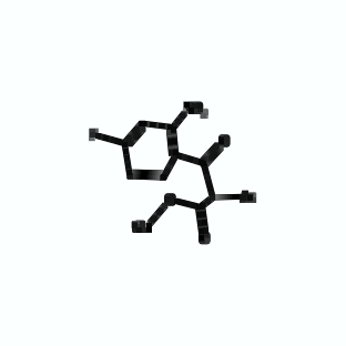 CC(=O)C(C(=O)OC(C)(C)C)C(=O)c1ccc(F)cc1[N+](=O)[O-]